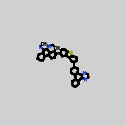 C=Nc1c(/N=C\C)c2cc(-c3ccc4sc5ccc(-c6ccc7c8ccccc8c8nccnc8c7c6)cc5c4c3)ccc2c2ccccc12